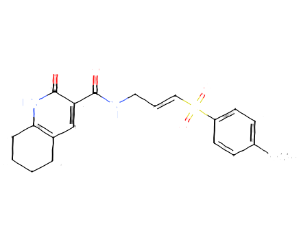 COc1ccc(S(=O)(=O)/C=C/CNC(=O)c2cc3c([nH]c2=O)CCCC3)cc1